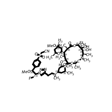 CC[C@H]1OC(=O)[C@H](C)C([C@H]2C[C@@](C)(OC)C[C@H](C)O2)[C@H](C)[C@@H](O[C@H]2C[C@@H](N(C)CCc3cn([C@H](CF)[C@H](OC)c4ccc(S(=O)(=O)CC#N)cc4)nn3)C[C@@H](C)O2)C(C)(C)C[C@@H](C)CN(C)[C@H](C)[C@@H](O)[C@]1(C)O